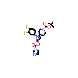 CC(C)(C)OC(=O)N1CCC(CCOC(=O)n2ccnc2)(Nc2ccc(F)c(F)c2)CC1